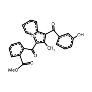 COC(=O)c1ccccc1C(=O)c1c(C)c(C(=O)c2cccc(O)c2)c2ccccn12